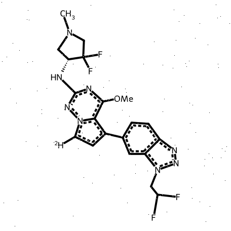 [2H]c1cc(-c2ccc3nnn(CC(F)F)c3c2)c2c(OC)nc(N[C@@H]3CN(C)CC3(F)F)nn12